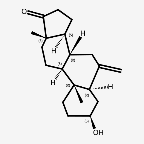 C=C1C[C@@H]2[C@H](CC[C@]3(C)C(=O)CC[C@@H]23)[C@@]2(C)CC[C@H](O)C[C@H]12